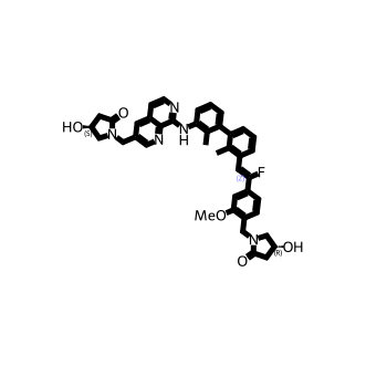 COc1cc(/C(F)=C/c2cccc(-c3cccc(Nc4nccc5cc(CN6C[C@@H](O)CC6=O)cnc45)c3C)c2C)ccc1CN1C[C@H](O)CC1=O